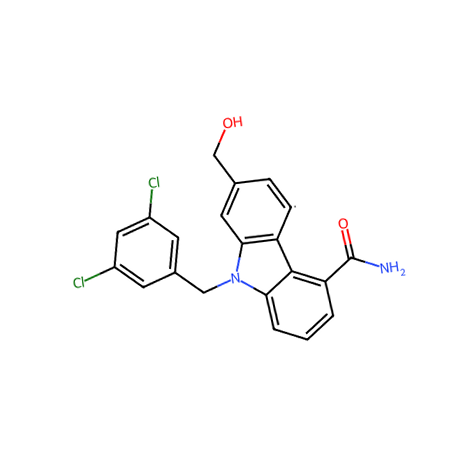 NC(=O)c1cccc2c1c1[c]cc(CO)cc1n2Cc1cc(Cl)cc(Cl)c1